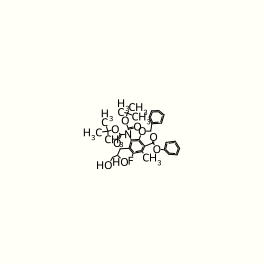 Cc1c(F)c(CC(O)CO)c(N(C(=O)OC(C)(C)C)C(=O)OC(C)(C)C)c(OCc2ccccc2)c1C(=O)Oc1ccccc1